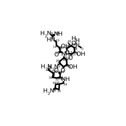 CN[C@@H]1[C@@H](O)[C@@H](O[C@H]2[C@H](NC(=O)[C@@H](O)CCNC(=N)N)C[C@H](N)C(O[C@H]3OC(CN)=CC[C@H]3NCC3CC(N)C3)[C@@H]2O)OC[C@]1(C)O